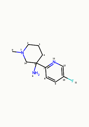 CN1CCCC(N)(c2ccc(F)cn2)C1